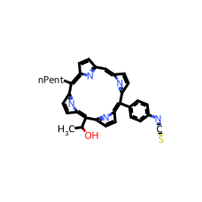 CCCCCC1=C2C=CC(=N2)C=C2C=CC(=N2)C(c2ccc(N=C=S)cc2)=C2C=CC(=N2)C(C(C)O)=C2C=CC1=N2